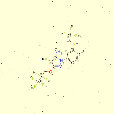 Cc1cc(F)c(-n2nc(OCC(F)(F)C(F)(F)F)c(F)c2N)cc1SCC(F)(F)F